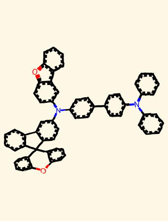 c1ccc(N(c2ccccc2)c2ccc(-c3ccc(N(c4ccc5c(c4)-c4ccccc4C54c5ccccc5Oc5ccccc54)c4ccc5oc6ccccc6c5c4)cc3)cc2)cc1